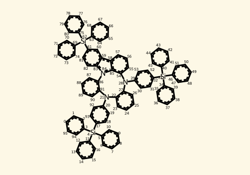 c1ccc([Si](c2ccccc2)(c2ccccc2)c2ccc(N3c4ccccc4N(c4ccc([Si](c5ccccc5)(c5ccccc5)c5ccccc5)cc4)c4cccc5c6cc([Si](c7ccccc7)(c7ccccc7)c7ccccc7)ccc6n(c45)-c4ccccc43)cc2)cc1